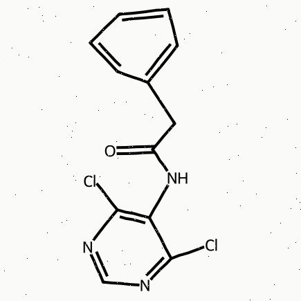 O=C(Cc1ccccc1)Nc1c(Cl)ncnc1Cl